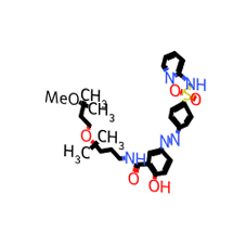 COC(C)(C)CCOC(C)(C)CCCNC(=O)c1cc(/N=N/c2ccc(S(=O)(=O)Nc3ccccn3)cc2)ccc1O